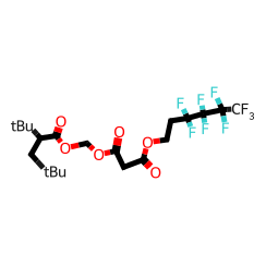 CC(C)(C)CC(C(=O)OCOC(=O)CC(=O)OCCC(F)(F)C(F)(F)C(F)(F)C(F)(F)F)C(C)(C)C